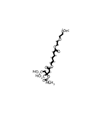 CCCCCCCCCCCCOCCOC(=O)CCCCCOC(=O)CC(CC(=O)O)(O[PH](C)=O)C(=O)O